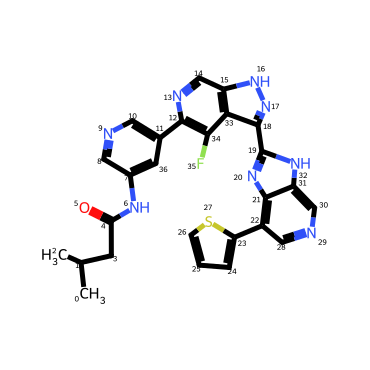 CC(C)CC(=O)Nc1cncc(-c2ncc3[nH]nc(-c4nc5c(-c6cccs6)cncc5[nH]4)c3c2F)c1